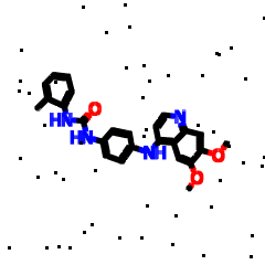 COc1cc2nccc(Nc3ccc(NC(=O)Nc4ccccc4C)cc3)c2cc1OC